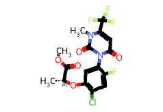 COC(=O)[C@@H](C)Oc1cc(-n2c(=O)cc(C(F)(F)F)n(C)c2=O)c(F)cc1Cl